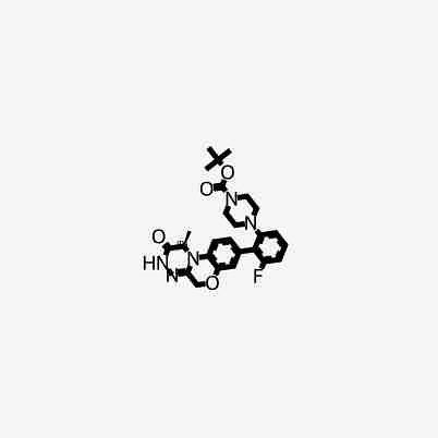 C[C@@H]1C(=O)NN=C2COc3cc(-c4c(F)cccc4N4CCN(C(=O)OC(C)(C)C)CC4)ccc3N21